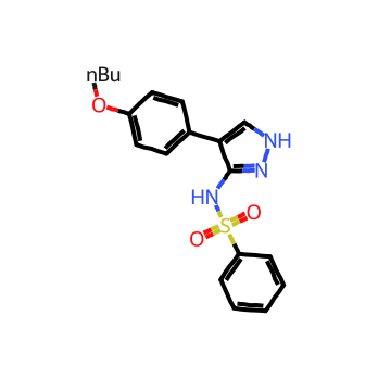 CCCCOc1ccc(-c2c[nH]nc2NS(=O)(=O)c2ccccc2)cc1